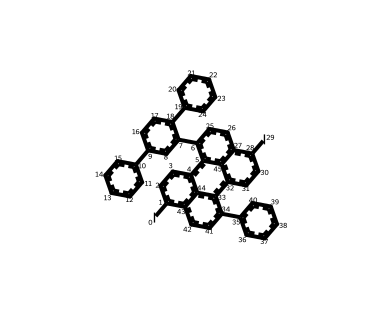 Ic1ccc2c3c(-c4cc(-c5ccccc5)ccc4-c4ccccc4)ccc4c(I)ccc(c5c(-c6ccccc6)ccc1c25)c43